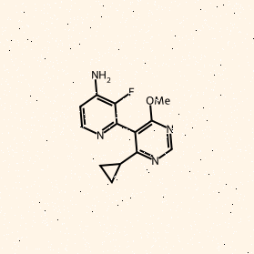 COc1ncnc(C2CC2)c1-c1nccc(N)c1F